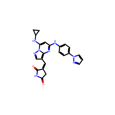 O=C1CC(=Cc2cnn3c(NC4CC4)cc(Nc4ccc(-n5cccn5)cc4)nc23)C(=O)N1